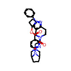 O=C(OC1CCC1)c1ccc(N2C3CCC2CN(CC(=O)N2CCc4nn(-c5ccccc5)cc4C2)C3)nc1